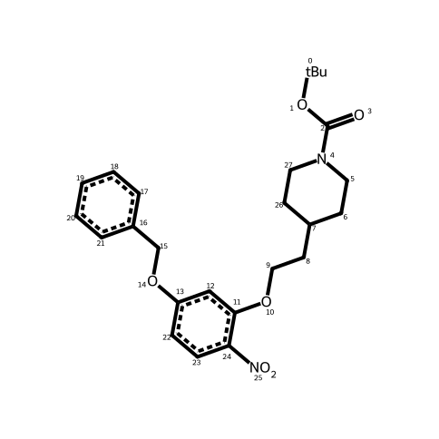 CC(C)(C)OC(=O)N1CCC(CCOc2cc(OCc3ccccc3)ccc2[N+](=O)[O-])CC1